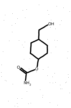 NC(=O)OC1CCC(CO)CC1